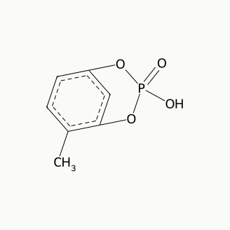 Cc1ccc2cc1OP(=O)(O)O2